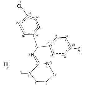 CN1CCCN(C)C1=NC(c1ccc(Cl)cc1)c1ccc(Cl)cc1.I